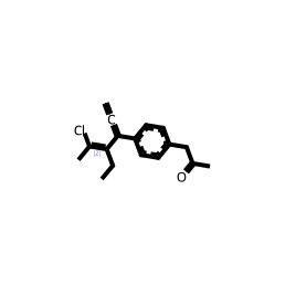 C=C=C(/C(CC)=C(/C)Cl)c1ccc(CC(C)=O)cc1